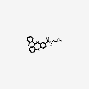 COCCNC(=O)c1ccc2c(c1)N=C(c1ccccc1F)c1ccccc1S2